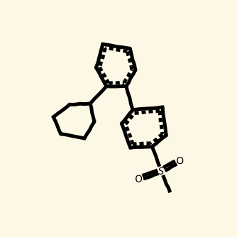 CS(=O)(=O)c1ccc(-c2ccccc2C2CCCCC2)cc1